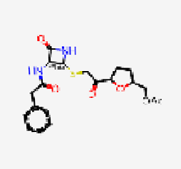 CC(=O)OCC1CCC(C(=O)CS[C@H]2NC(=O)[C@H]2NC(=O)Cc2ccccc2)O1